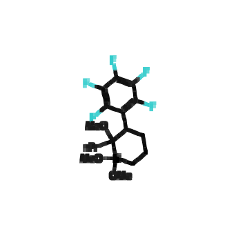 CCCC1(OC)C(c2c(F)c(F)c(F)c(F)c2F)CCC[Si]1(OC)OC